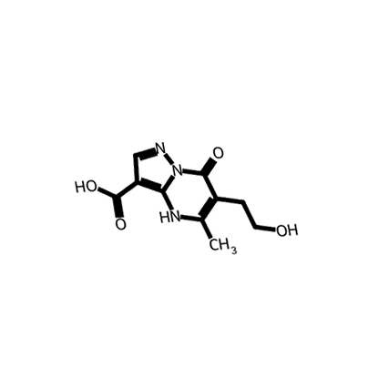 Cc1[nH]c2c(C(=O)O)cnn2c(=O)c1CCO